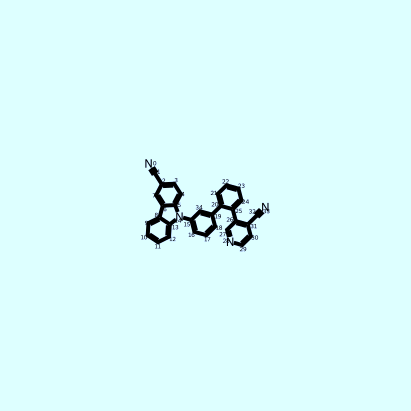 N#Cc1ccc2c(c1)c1ccccc1n2-c1cccc(-c2ccccc2-c2cnccc2C#N)c1